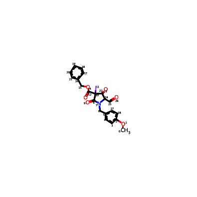 COc1ccc(CN2C(=O)C(I)(C(=O)OCc3ccccc3)C(=O)C2C=O)cc1